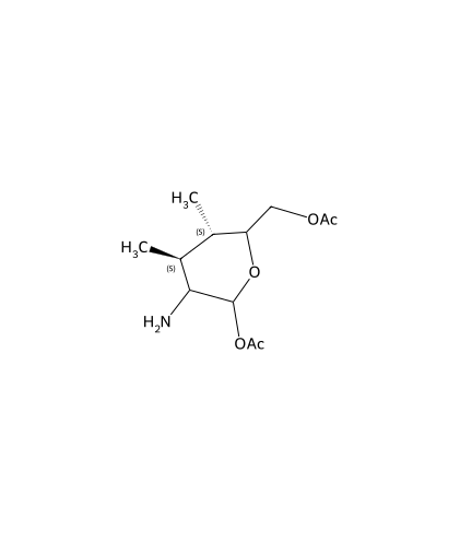 CC(=O)OCC1OC(OC(C)=O)C(N)[C@@H](C)[C@@H]1C